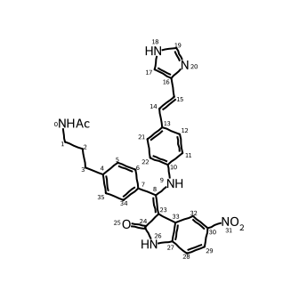 CC(=O)NCCCc1ccc(C(Nc2ccc(C=Cc3c[nH]cn3)cc2)=C2C(=O)Nc3ccc([N+](=O)[O-])cc32)cc1